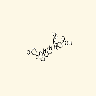 COc1ccc(COc2nc3c(cc2Cl)CCN(Cc2nc4ccc(C(=O)O)cc4n2C[C@@H]2CCO2)C3)c(Cl)c1